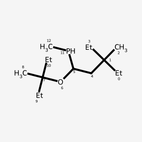 CCC(C)(CC)CC(OC(C)(CC)CC)PC